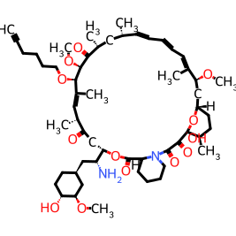 C#CCCCCO[C@@H]1/C(C)=C/[C@@H](C)C(=O)C[C@@H]([C@H](N)C[C@@H]2CC[C@@H](O)[C@H](OC)C2)OC(=O)[C@@H]2CCCCN2C(=O)C(=O)[C@]2(O)O[C@@H](CC[C@H]2C)C[C@H](OC)/C(C)=C/C=C/C=C/[C@@H](C)C[C@@H](C)C(=O)[C@@H]1OC